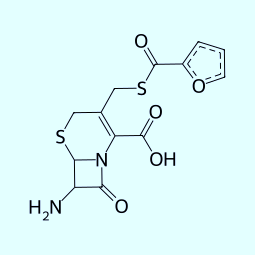 NC1C(=O)N2C(C(=O)O)=C(CSC(=O)c3ccco3)CSC12